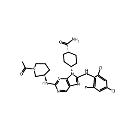 CC(=O)N1CCC[C@@H](Nc2ncc3nc(Nc4c(F)cc(Cl)cc4Cl)n([C@H]4CC[C@@H](C(N)=O)CC4)c3n2)C1